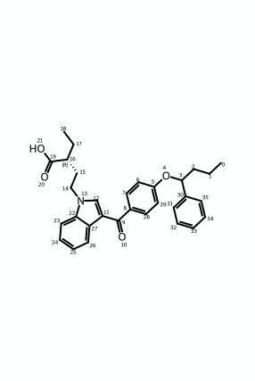 CCCC(Oc1ccc(C(=O)c2cn(CC[C@@H](CC)C(=O)O)c3ccccc23)cc1)c1ccccc1